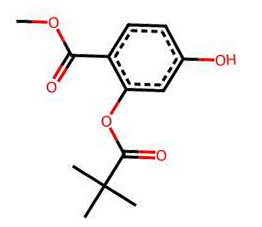 COC(=O)c1ccc(O)cc1OC(=O)C(C)(C)C